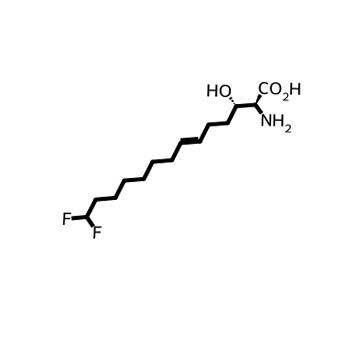 N[C@H](C(=O)O)[C@@H](O)CC/C=C/CCCCCCC(F)F